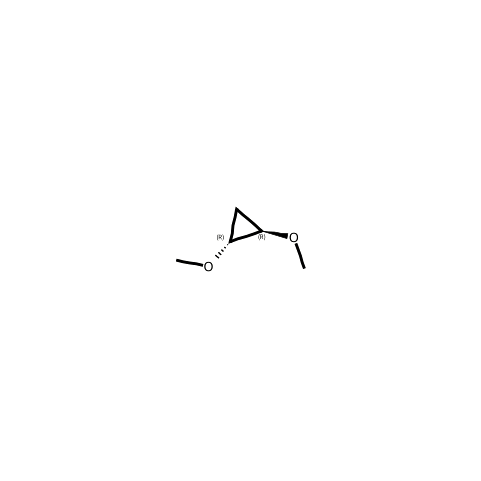 CO[C@@H]1C[C@H]1OC